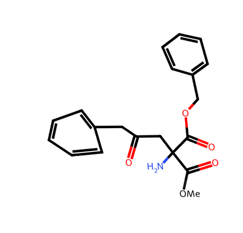 COC(=O)C(N)(CC(=O)Cc1ccccc1)C(=O)OCc1ccccc1